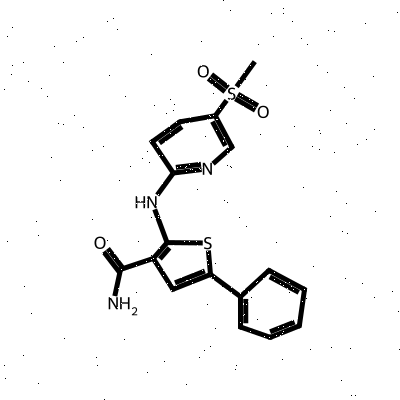 CS(=O)(=O)c1ccc(Nc2sc(-c3ccccc3)cc2C(N)=O)nc1